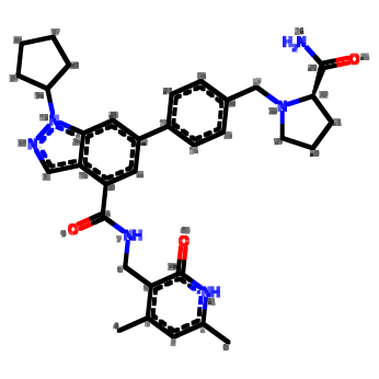 Cc1cc(C)c(CNC(=O)c2cc(-c3ccc(CN4CCC[C@@H]4C(N)=O)cc3)cc3c2cnn3C2CCCC2)c(=O)[nH]1